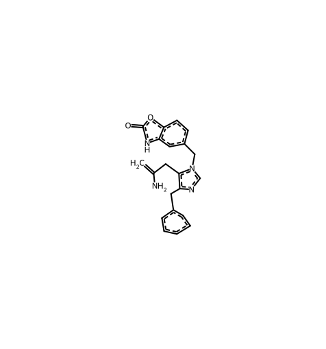 C=C(N)Cc1c(Cc2ccccc2)ncn1Cc1ccc2oc(=O)[nH]c2c1